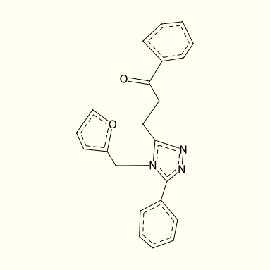 O=C(CCc1nnc(-c2ccccc2)n1Cc1ccco1)c1ccccc1